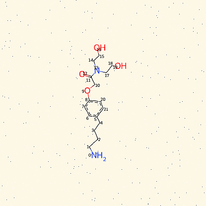 NCCCCc1ccc(OCC(=O)N(CCO)CCO)cc1